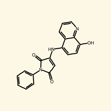 O=C1C=C(Nc2ccc(O)c3ncccc23)C(=O)N1c1ccccc1